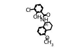 COc1cccc2c1CCC[C@H]2NC(=O)c1cccc(Cl)c1O